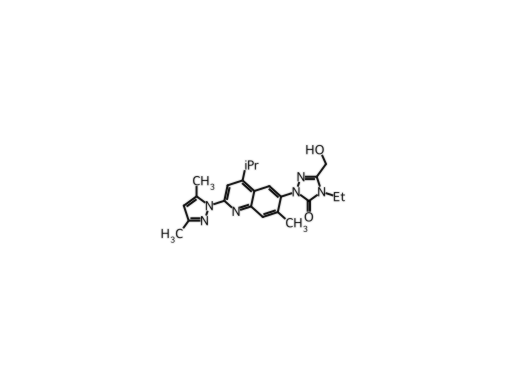 CCn1c(CO)nn(-c2cc3c(C(C)C)cc(-n4nc(C)cc4C)nc3cc2C)c1=O